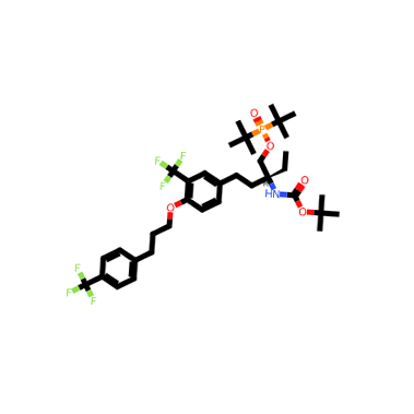 CC[C@@](CCc1ccc(OCCCc2ccc(C(F)(F)F)cc2)c(C(F)(F)F)c1)(COP(=O)(C(C)(C)C)C(C)(C)C)NC(=O)OC(C)(C)C